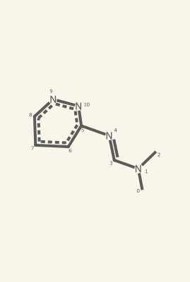 CN(C)C=Nc1cccnn1